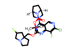 CC(C)(C)OC(=O)N1[C@@H]2CC[C@H]1CN(c1nc(OCC34CCCN3CC(F)C4)nc3c(F)c(Cl)ncc13)C2